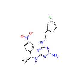 C[C@H](Nc1nc(N)nc(NCCc2cccc(Cl)c2)n1)c1ccc([N+](=O)[O-])cc1